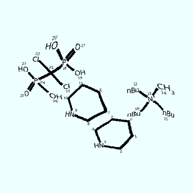 C1CCNCC1.C1CCNCC1.CCCC[N+](C)(CCCC)CCCC.O=P(O)(O)C(Cl)(Cl)P(=O)(O)O